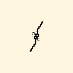 CCCCCCCCC#Cc1ccc2c(Cl)c(C#CCCCCCCCC)ccc2c1Cl